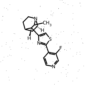 C[C@H]1[C@H](c2csc(-c3ccncc3F)n2)C2CCN1CC2